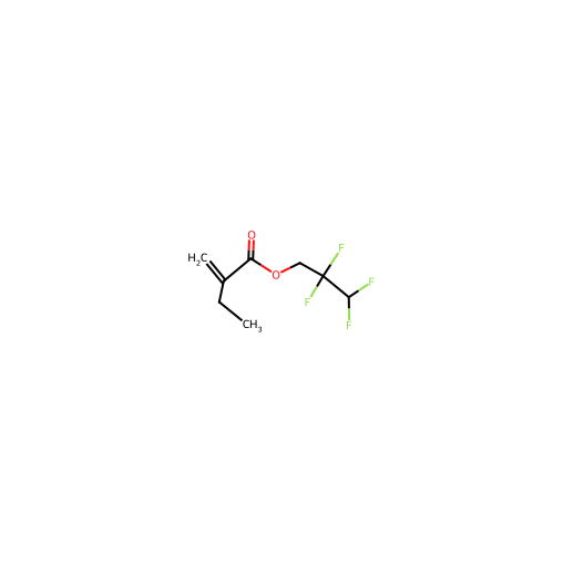 C=C(CC)C(=O)OCC(F)(F)C(F)F